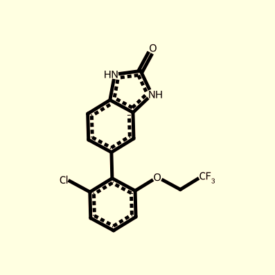 O=c1[nH]c2ccc(-c3c(Cl)cccc3OCC(F)(F)F)cc2[nH]1